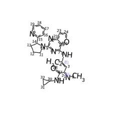 C/N=C(\C=C(/C)Nc1nc(N2CCCC2c2ccccn2)nc2ccoc12)C(=O)NC1CC1